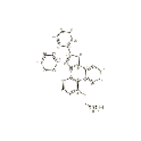 O=C(O)CCc1ccccc1-c1ccccc1C1=NC(c2ccccc2)=C(c2ccccc2)C1